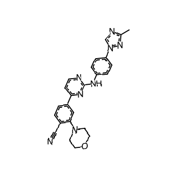 Cc1ncn(-c2ccc(Nc3nccc(-c4ccc(C#N)c(N5CCOCC5)c4)n3)cc2)n1